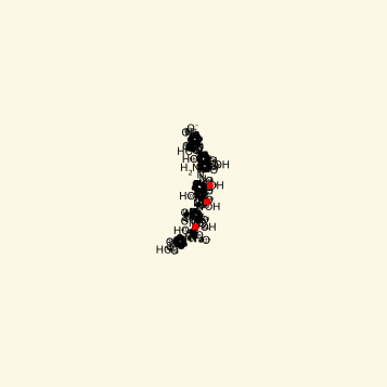 Nc1c(N=Nc2ccc3c(O)c(N=Nc4cc([N+](=O)[O-])c(N=Nc5c(OC=O)nn(-c6ccc(S(=O)(=O)O)cc6)c5O)c(S(=O)(=O)O)c4)c(S(=O)(=O)O)cc3c2S(=O)(=O)O)cc(S(=O)(=O)O)c2ccc(N=Nc3ccc([N+](=O)[O-])cc3S(=O)(=O)O)c(O)c12